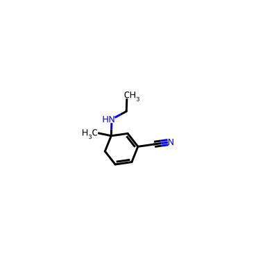 CCNC1(C)C=C(C#N)C=CC1